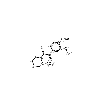 CCCOc1cc(C(=O)C(=O)N2CCCCC2C(=O)O)ccc1OC